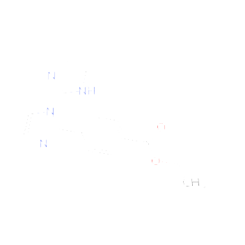 CCOC(=O)c1ccc(-c2nccn2-c2ncc[nH]2)cc1